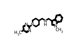 Cc1cnc(N2CCC(CNCc3cn(C)c4ccccc34)CC2)nc1